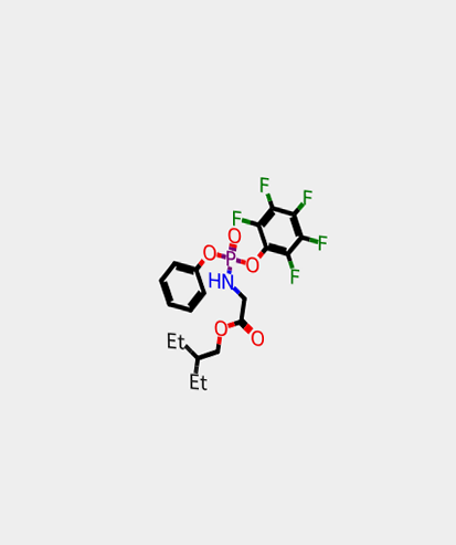 CCC(CC)COC(=O)CNP(=O)(Oc1ccccc1)Oc1c(F)c(F)c(F)c(F)c1F